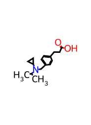 CC(C)N(Cc1ccc(CCC(=O)O)cc1)C1CC1